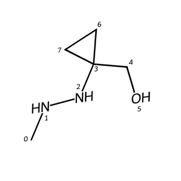 CNNC1(CO)CC1